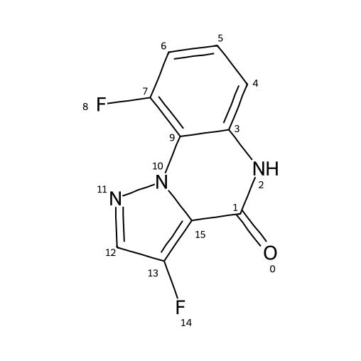 O=c1[nH]c2cccc(F)c2n2ncc(F)c12